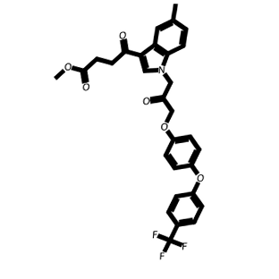 COC(=O)CCC(=O)c1cn(CC(=O)COc2ccc(Oc3ccc(C(F)(F)F)cc3)cc2)c2ccc(C)cc12